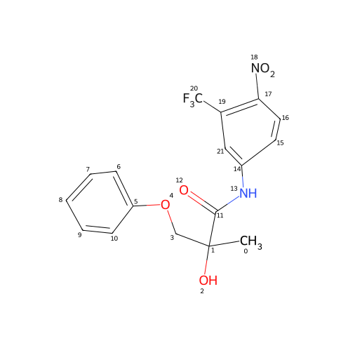 CC(O)(COc1ccccc1)C(=O)Nc1ccc([N+](=O)[O-])c(C(F)(F)F)c1